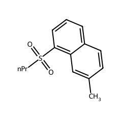 CCCS(=O)(=O)c1cccc2ccc(C)cc12